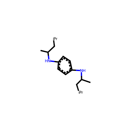 CC(C)CC(C)Nc1ccc(NC(C)CC(C)C)cc1